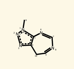 Cn1nnc2c1N=CN=CC2